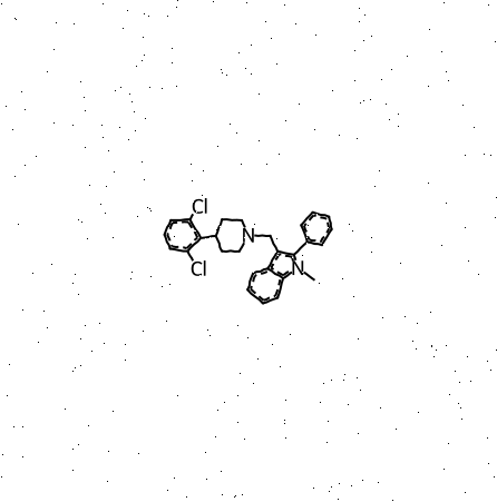 Cn1c(-c2ccccc2)c(CN2CCC(c3c(Cl)cccc3Cl)CC2)c2ccccc21